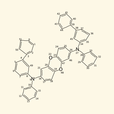 c1ccc(-c2cccc(N(c3ccccc3)c3ccc4c(c3)Oc3ccc(N(c5ccccc5)c5cccc(-c6ccccc6)c5)cc3O4)c2)cc1